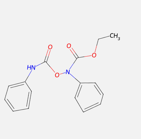 CCOC(=O)N(OC(=O)Nc1ccccc1)c1ccccc1